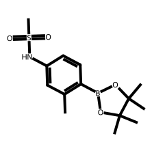 Cc1cc(NS(C)(=O)=O)ccc1B1OC(C)(C)C(C)(C)O1